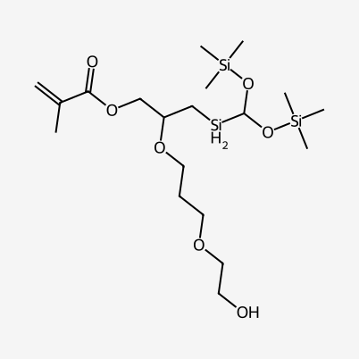 C=C(C)C(=O)OCC(C[SiH2]C(O[Si](C)(C)C)O[Si](C)(C)C)OCCCOCCO